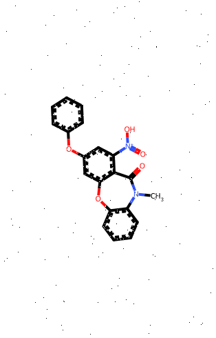 CN1C(=O)c2c(cc(Oc3ccccc3)cc2[N+](=O)O)Oc2ccccc21